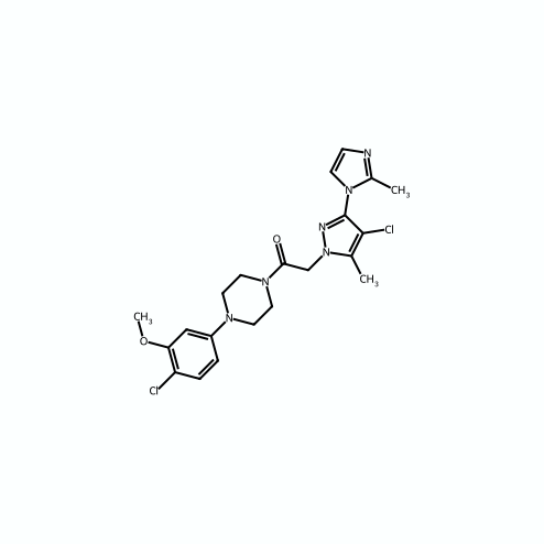 COc1cc(N2CCN(C(=O)Cn3nc(-n4ccnc4C)c(Cl)c3C)CC2)ccc1Cl